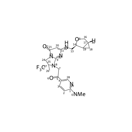 CNc1ccc(C(=O)CN2c3nc(NC[C@H]4OC[C@@H]5CC54)cc(=O)n3C[C@@]2(C)C(F)(F)F)cn1